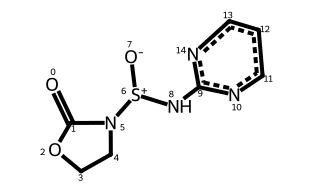 O=C1OCCN1[S+]([O-])Nc1ncccn1